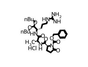 CCCCOC(OCCCC)[C@H](CCCNC(=N)N)NC(=O)[C@H](C)NC(=O)[C@@H]1CCC(=O)N1C(=O)OCc1ccccc1.Cl